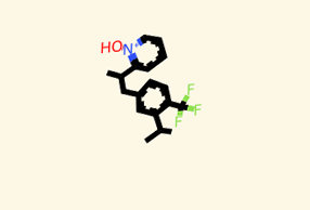 CC(C)c1cc(CC(C)c2cccc[n+]2O)ccc1C(F)(F)F